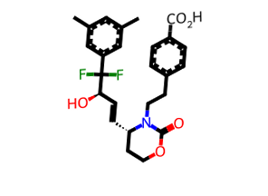 Cc1cc(C)cc(C(F)(F)[C@H](O)/C=C/[C@H]2CCOC(=O)N2CCc2ccc(C(=O)O)cc2)c1